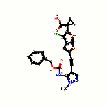 Cn1ncc(C#Cc2cc3c(F)c(C4(C(=O)O)CC4)sc3s2)c1NC(=O)OCc1ccccc1